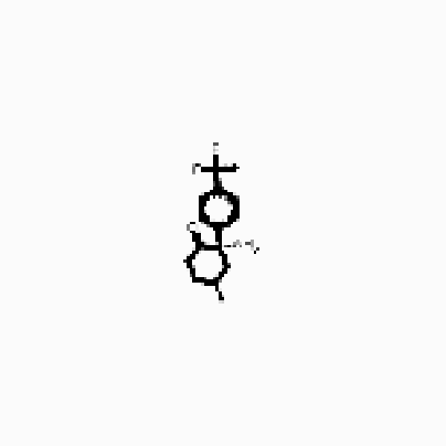 C[C@H]1CCC(=O)[C@@](N)(c2ccc(C(F)(F)F)cc2)C1